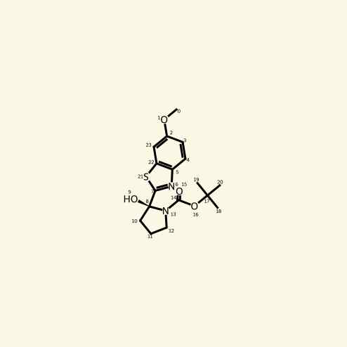 COc1ccc2nc([C@@]3(O)CCCN3C(=O)OC(C)(C)C)sc2c1